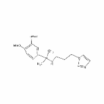 CCCCCc1cc(C(C)(C)NCCCn2ccnc2)ccc1OC